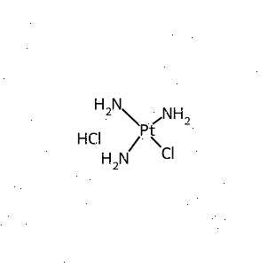 Cl.[NH2][Pt]([NH2])([NH2])[Cl]